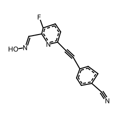 N#Cc1ccc(C#Cc2ccc(F)c(C=NO)n2)cc1